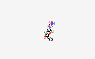 O=C(NO)C(=O)Nc1cc(Cl)c(Oc2ccc(O)c(CC3CCCCC3)c2)c(Cl)c1